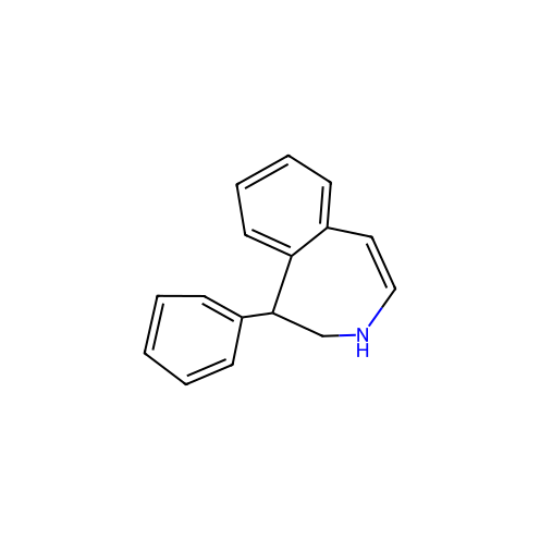 C1=Cc2ccccc2C(c2ccccc2)CN1